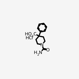 Cl.NC(=O)N1CCC(C(=O)O)(c2ccccc2)CC1